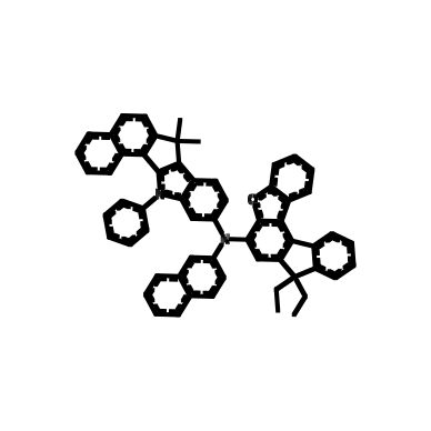 CCC1(CC)c2ccccc2-c2c1cc(N(c1ccc3ccccc3c1)c1ccc3c4c(n(-c5ccccc5)c3c1)-c1c(ccc3ccccc13)C4(C)C)c1oc3ccccc3c21